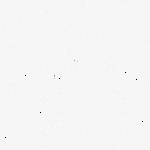 N[C@@H](CC(=O)[O-])C(=O)[O-].[Co+2]